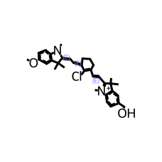 COc1ccc2c(c1)C(C)(C)/C(=C\C=C1/CCCC(/C=C/C3=[N+](C)c4ccc(CO)cc4C3(C)C)=C1Cl)N2C